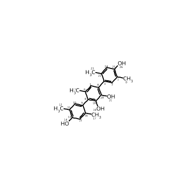 Cc1cc(-c2cc(C)c(-c3cc(C)c(O)cc3C)c(O)c2O)c(C)cc1O